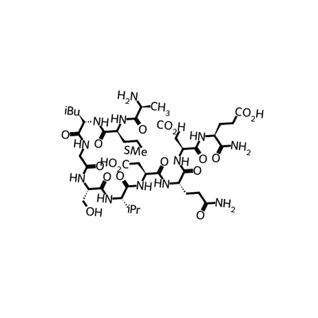 CC[C@H](C)[C@H](NC(=O)[C@H](CCSC)NC(=O)[C@H](C)N)C(=O)NCC(=O)N[C@@H](CO)C(=O)N[C@H](C(=O)N[C@@H](CC(=O)O)C(=O)N[C@@H](CCC(N)=O)C(=O)N[C@@H](CC(=O)O)C(=O)N[C@@H](CCC(=O)O)C(N)=O)C(C)C